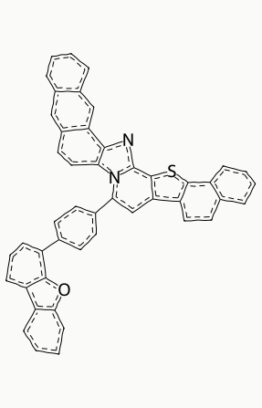 c1ccc2cc3c(ccc4c3nc3c5sc6c7ccccc7ccc6c5cc(-c5ccc(-c6cccc7c6oc6ccccc67)cc5)n43)cc2c1